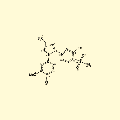 COc1cc(-n2nc(C(F)(F)F)cc2-c2ccc(S(N)(=O)=O)c(F)c2)ccc1Cl